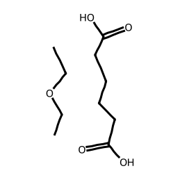 CCOCC.O=C(O)CCCCC(=O)O